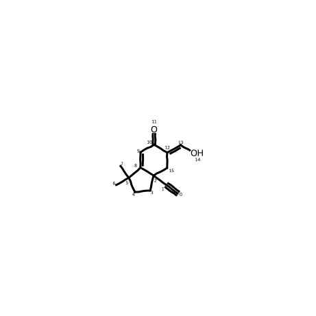 C#CC12CCC(C)(C)C1=CC(=O)C(=CO)C2